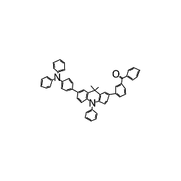 CC1(C)c2cc(-c3ccc(N(c4ccccc4)c4ccccc4)cc3)ccc2N(c2ccccc2)c2ccc(-c3cccc(C(=O)c4ccccc4)c3)cc21